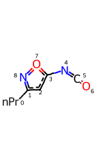 CCCc1cc(N=C=O)on1